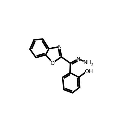 NN=C(c1nc2ccccc2o1)c1ccccc1O